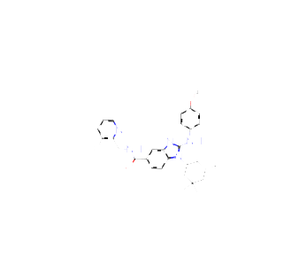 C[C@@H]1C[C@H](n2c(Nc3ccc(OC(F)(F)F)cc3)nc3cc(C(=O)NCc4ncccc4C(F)(F)F)ccc32)CC(C)(C)C1